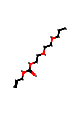 C=CCOC(=O)OCCOCCOCCC